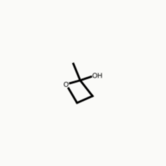 CC1(O)CCO1